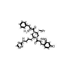 CC(C)C[C@@H]1CN(C(=O)[C@H](N)Cc2ccc(Cl)cc2Cl)[C@@H](CCCNc2nncs2)CN1C(=O)[C@H](N)Cc1ccccc1